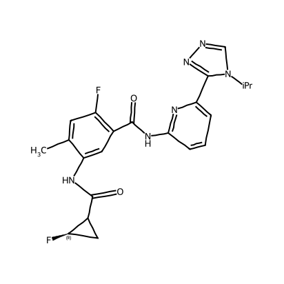 Cc1cc(F)c(C(=O)Nc2cccc(-c3nncn3C(C)C)n2)cc1NC(=O)C1C[C@H]1F